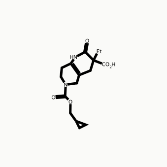 CCC1(C(=O)O)CC2=C(CCN(C(=O)OCC3CC3)C2)NC1=O